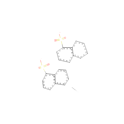 O=S(=O)(O)c1cccc2ccccc12.O=S(=O)(O)c1cccc2ccccc12.[CH3][Na]